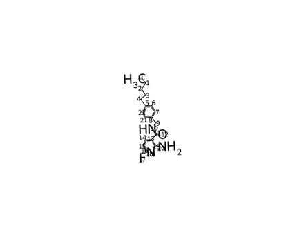 CCCCCc1ccc(CNC(=O)c2ccc(F)nc2N)cc1